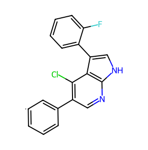 Fc1ccccc1-c1c[nH]c2ncc(-c3c[c]ccc3)c(Cl)c12